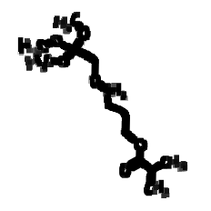 C=C(C)C(=O)OCCC[SiH2]OCC(OC)(OC)OC